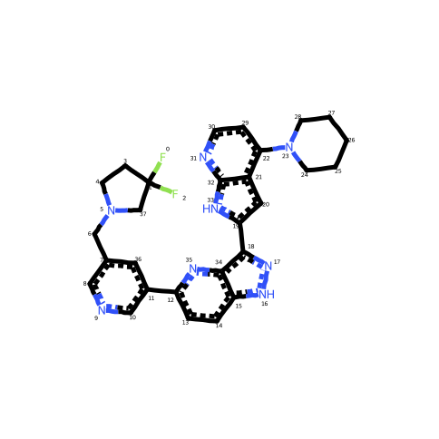 FC1(F)CCN(Cc2cncc(-c3ccc4[nH]nc(-c5cc6c(N7CCCCC7)ccnc6[nH]5)c4n3)c2)C1